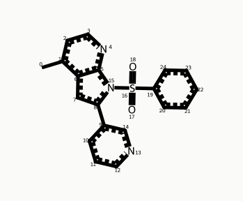 Cc1ccnc2c1cc(-c1cccnc1)n2S(=O)(=O)c1ccccc1